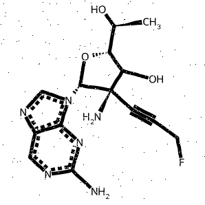 C[C@H](O)[C@H]1O[C@@H](n2cnc3cnc(N)nc32)[C@@](N)(C#CCF)C1O